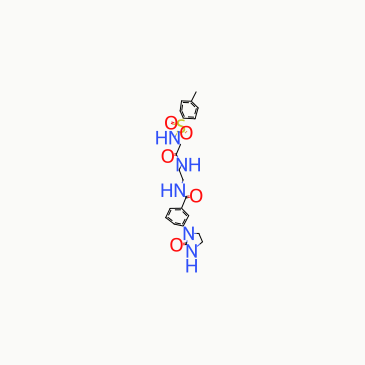 Cc1ccc(S(=O)(=O)NCC(=O)NCCNC(=O)c2cccc(N3CCNC3=O)c2)cc1